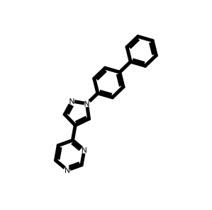 c1ccc(-c2ccc(-n3cc(-c4ccncn4)cn3)cc2)cc1